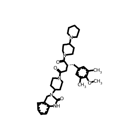 COc1c(C)cc(C[C@H](CC(=O)N2CCC(N3Cc4ccccc4NC3=O)CC2)C(=O)N2CCC(N3CCCCC3)CC2)cc1C